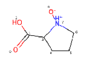 O=C(O)C1CCC[NH+]1[O-]